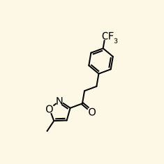 Cc1cc(C(=O)CCc2ccc(C(F)(F)F)cc2)no1